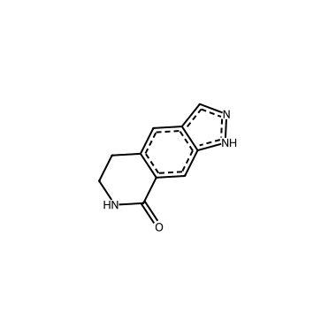 O=C1NCCc2cc3cn[nH]c3cc21